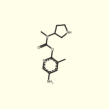 Cc1cc(N)cnc1OC(=O)N(C)C1CCNC1